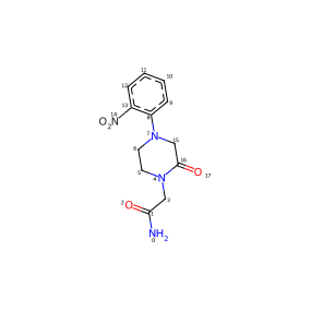 NC(=O)CN1CCN(c2ccccc2[N+](=O)[O-])CC1=O